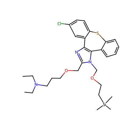 CCN(CC)CCCOCc1nc2c(n1COCC[Si](C)(C)C)-c1ccccc1Sc1ccc(Cl)cc1-2